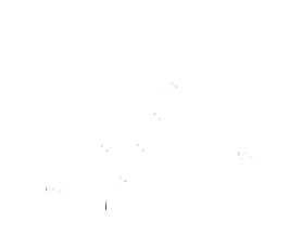 COC[C@H](C)Nc1nccc(N(C(=O)NC2CCCCC2)c2ccc(OC)cc2)n1